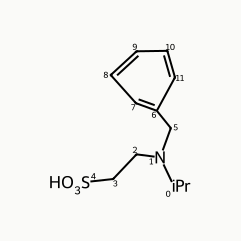 CC(C)N(CCS(=O)(=O)O)Cc1ccccc1